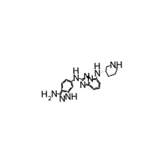 Nc1n[nH]c2cc(Nc3nc4cccc(N[C@H]5CCCNC5)n4n3)ccc12